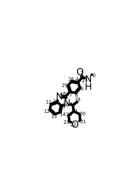 CNC(=O)c1ccc(-c2nc3ccccc3n2C(C)C2CCOCC2)cc1